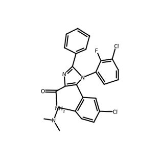 CN(C)Cc1ccc(Cl)cc1-c1c(C(N)=O)nc(-c2ccccc2)n1-c1cccc(Cl)c1F